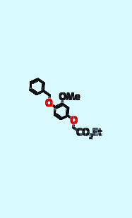 CCOC(=O)COc1ccc(OCc2ccccc2)c(OC)c1